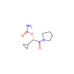 NC(=O)O[C@H](C(=O)N1CCCC1)C1CC1